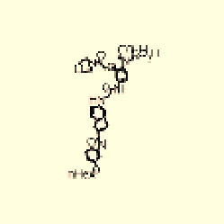 CCCCCCOc1ccc2oc(-c3ccc4cc(NCC(=O)Nc5ccc(N(CC(=O)O)CC(=O)O)c(OCC(=O)N6CCOCC6)c5)ccc4c3)nc2c1